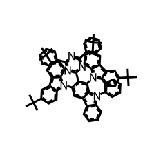 CC(C)(C)c1ccc2c(c1)c1cc(C(C)(C)C)ccc1n2-c1cc2c3ccccc3n(-c3ccccc3)c2c(-n2c3ccc(C(C)(C)C)cc3c3cc(C(C)(C)C)ccc32)c1-c1nc(-c2ccccc2)nc(-c2ccccc2)n1